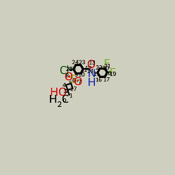 C=CC1(O)CC(S(=O)(=O)c2cc(C(=O)Nc3ccc(F)c(F)c3)ccc2Cl)C1